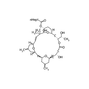 C=C1C[C@@H]2C[C@@H]3CC(=C)C[C@H](/C=C/C(C)(C)[C@]4(O)O[C@@H](CC[C@H]4OC(=O)CCCCCCC)C[C@H]([C@@H](C)O)OC(=O)C[C@H](O)C[C@H](C1)O2)O3